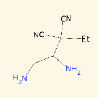 CCC(C#N)(C#N)C(N)CN